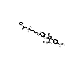 CCSNc1ccc(-c2n[nH]c(Nc3ccnc(OCCCCC(=O)NCC(=O)N4CCCC4)c3)c2C(N)=O)cc1